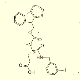 O=C(O)CC[C@H](NC(=O)OCC1c2ccccc2-c2ccccc21)C(=O)NCc1cccc(I)c1